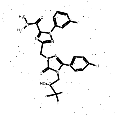 CN(C)C(=O)c1nc(Cn2nc(-c3ccc(Cl)cc3)n(C[C@H](O)C(F)(F)F)c2=O)nn1-c1cccc(Cl)c1